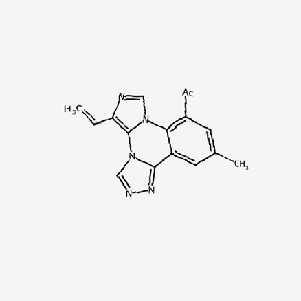 C=Cc1ncn2c3c(C(C)=O)cc(C)cc3c3nncn3c12